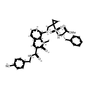 COC(=O)[C@H](Cc1ccccc1)NS(=O)(=O)C1(COc2nccc3cc(C(=O)NCc4ccc(C#N)cc4)c(=O)n(C)c23)CC1